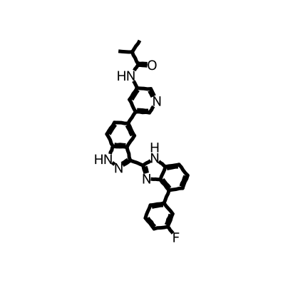 CC(C)C(=O)Nc1cncc(-c2ccc3[nH]nc(-c4nc5c(-c6cccc(F)c6)cccc5[nH]4)c3c2)c1